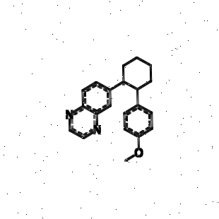 COc1ccc(C2CCCC[C]2c2ccc3nccnc3c2)cc1